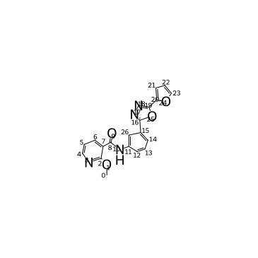 COc1ncccc1C(=O)Nc1cccc(-c2nnc(-c3ccco3)o2)c1